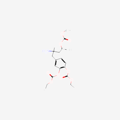 CCCC(C)OC(=O)O[C@@H](C)CC(N)(Cc1ccc(OC(=O)OCC(C)(C)C)c(OC(=O)OCC(C)(C)C)c1)C(=O)O